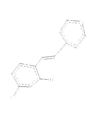 O=[N+]([O-])c1ccc(/C=C/c2ccncc2)c([N+](=O)[O-])c1